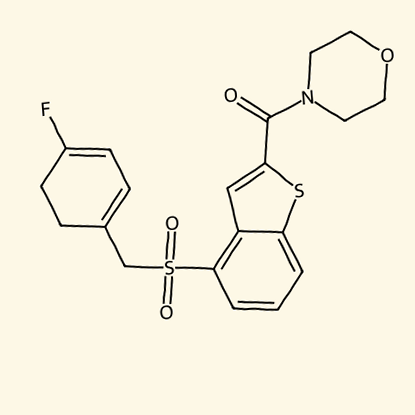 O=C(c1cc2c(S(=O)(=O)CC3=CC=C(F)CC3)cccc2s1)N1CCOCC1